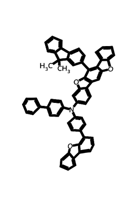 CC1(C)c2ccccc2-c2ccc(-c3c4oc5cc(N(c6ccc(-c7ccccc7)cc6)c6ccc(-c7cccc8c7oc7ccccc78)cc6)ccc5c4cc4oc5ccccc5c34)cc21